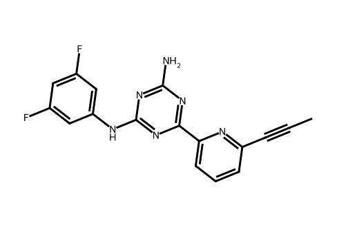 CC#Cc1cccc(-c2nc(N)nc(Nc3cc(F)cc(F)c3)n2)n1